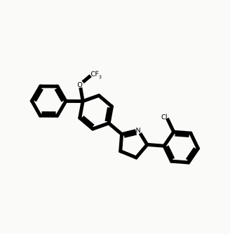 FC(F)(F)OC1(c2ccccc2)C=CC(C2=NC(c3ccccc3Cl)CC2)=CC1